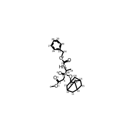 COC(=O)CP(=O)(OC12CC3CC(CC(C3)C1)C2)C(C)NC(=O)OCc1ccccc1